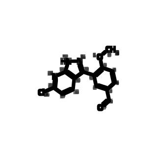 COc1ccc(C=O)cc1-c1n[nH]c2nc(Cl)ccc12